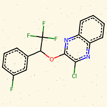 Fc1cccc(C(Oc2nc3ccccc3nc2Cl)C(F)(F)F)c1